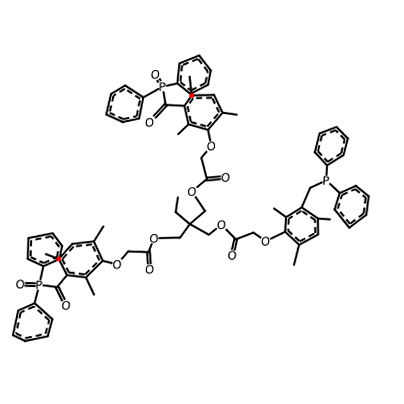 CCC(COC(=O)COc1c(C)cc(C)c(CP(c2ccccc2)c2ccccc2)c1C)(COC(=O)COc1c(C)cc(C)c(C(=O)P(=O)(c2ccccc2)c2ccccc2)c1C)COC(=O)COc1c(C)cc(C)c(C(=O)P(=O)(c2ccccc2)c2ccccc2)c1C